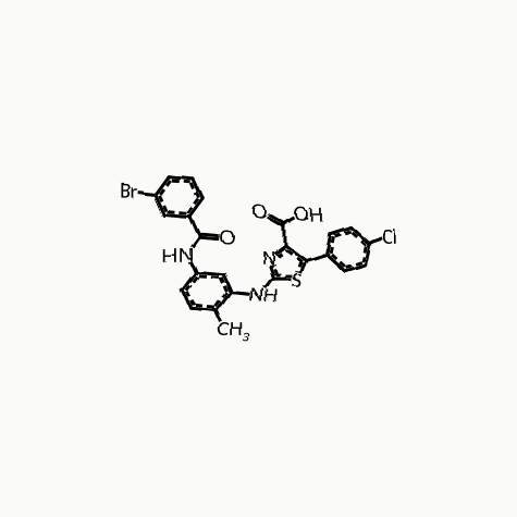 Cc1ccc(NC(=O)c2cccc(Br)c2)cc1Nc1nc(C(=O)O)c(-c2ccc(Cl)cc2)s1